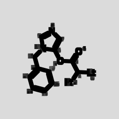 CCC(CC)C(=O)Oc1cncn1Cc1ccccc1